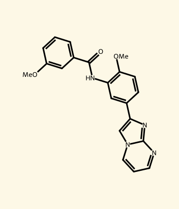 COc1cccc(C(=O)Nc2cc(-c3cn4cccnc4n3)ccc2OC)c1